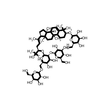 C[C@H](CC[C@@H](O[C@@H]1O[C@H](CO[C@@H]2O[C@H](CO)[C@@H](O)[C@H](O)[C@H]2O)[C@@H](O)[C@H](O)[C@H]1O[C@@H]1O[C@H](CO)[C@@H](O)[C@H](O)[C@H]1O)C(C)(C)O)[C@H]1CC[C@@]2(C)[C@@H]3CC=C4C(CC[C@H](O[C@@H]5O[C@H](CO)[C@@H](O)[C@H](O)[C@H]5O)C4(C)C)[C@]3(C)CC[C@]12C